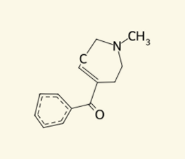 CN1CCC=C(C(=O)c2ccccc2)CC1